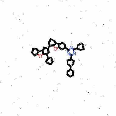 c1ccc(-c2ccc(-c3nc(-c4ccccc4)nc(-c4ccc5c(c4)oc4c(-c6cc(-c7ccccc7)c7oc8ccccc8c7c6)cccc45)n3)cc2)cc1